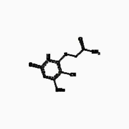 CSc1cc(=O)[nH]c(SCC(N)=O)c1C#N